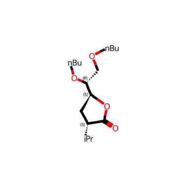 CCCCOC[C@@H](OCCCC)[C@@H]1C[C@@H](C(C)C)C(=O)O1